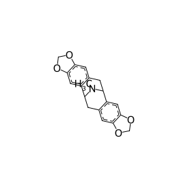 CN1C2Cc3cc4c(cc3C1Cc1cc3c(cc12)OCO3)OCO4